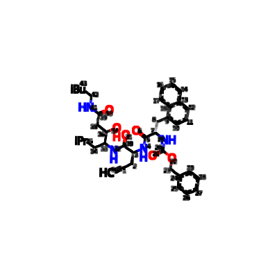 C#CC[C@H](NC(=O)[C@H](Cc1cccc2ccccc12)NC(=O)OCc1ccccc1)C(=O)NC(CC(C)C)C(O)CC(=O)NCC(C)CC